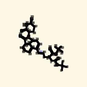 CC(C)(C)OC(=O)CN(C/C=C/c1ccc2c3c(cccc13)C(=O)N2C1CCC(=O)NC1=O)C(=O)OC(C)(C)C